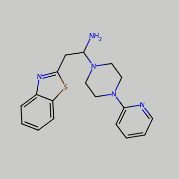 NC(Cc1nc2ccccc2s1)N1CCN(c2ccccn2)CC1